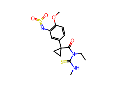 CCN(C(=O)C1(c2ccc(OC)c(N=S(=O)=O)c2)CC1)C(=S)NC